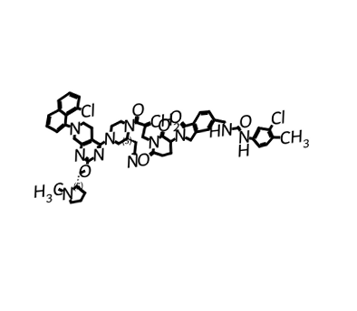 C=C(CN1C(=O)CCC(N2Cc3cc(CNC(=O)Nc4ccc(C)c(Cl)c4)ccc3C2=O)C1=O)C(=O)N1CCN(c2nc(OC[C@@H]3CCCN3C)nc3c2CCN(c2cccc4cccc(Cl)c24)C3)C[C@@H]1CC#N